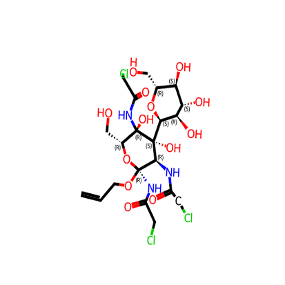 C=CCO[C@@]1(NC(=O)CCl)O[C@H](CO)[C@](O)(NC(=O)CCl)[C@@](O)([C@H]2O[C@H](CO)[C@@H](O)[C@H](O)[C@H]2O)[C@H]1NC(=O)CCl